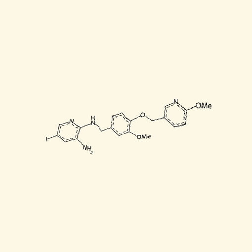 COc1ccc(COc2ccc(CNc3ncc(I)cc3N)cc2OC)cn1